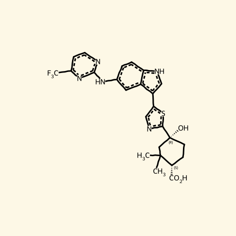 CC1(C)C[C@@](O)(c2ncc(-c3c[nH]c4ccc(Nc5nccc(C(F)(F)F)n5)cc34)s2)CC[C@@H]1C(=O)O